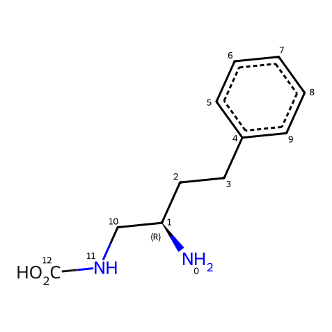 N[C@H](CCc1ccccc1)CNC(=O)O